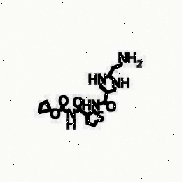 NCCC1NCC(C(=O)NC2SCC=C2C(=O)NC(=O)OC2CCC2)CN1